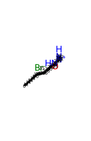 CCCCCCCCCCCCC#CC#CCCCCCCCCC(=O)NCCC[n+]1cc[nH]c1.[Br-]